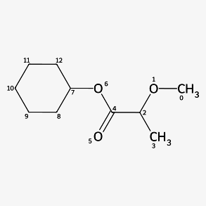 COC(C)C(=O)OC1CCCCC1